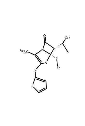 CCS[C@]12SC(Sc3cccs3)=C(C(=O)O)N1C(=O)[C@@H]2C(C)O